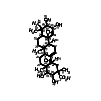 CC1(C(=O)O)C[C@H]2C3=CC[C@@H]4[C@@]5(C)C[C@@H](O)[C@H](O)C(C)(C)C5CC[C@@]4(C)[C@]3(C)CC[C@@]2(C)[C@H](O)[C@@H]1O